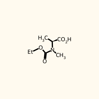 CCOC(=O)N(C)[C@@H](C)C(=O)O